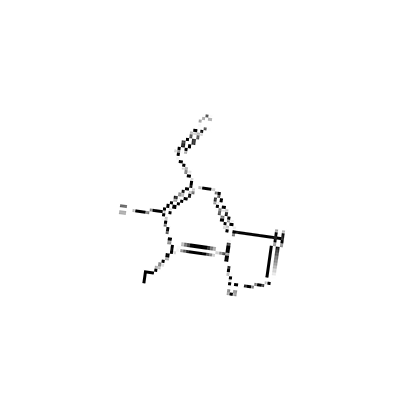 O=Cc1cc2ncoc2c(F)c1F